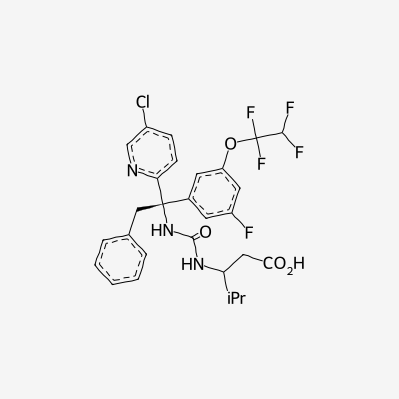 CC(C)C(CC(=O)O)NC(=O)N[C@@](Cc1ccccc1)(c1cc(F)cc(OC(F)(F)C(F)F)c1)c1ccc(Cl)cn1